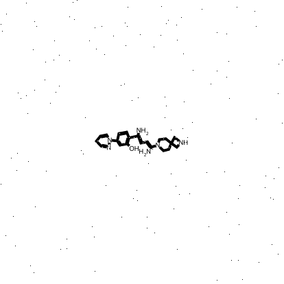 N/C(=C\C=C(/N)N1CCC2(CC1)CNC2)c1ccc(N2C=CCC=N2)cc1O